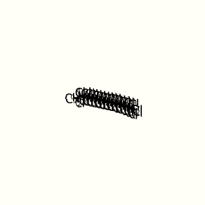 ClC(Cl)=C(Cl)C(Cl)(Cl)C(Cl)(Cl)C(Cl)(Cl)C(Cl)(Cl)C(Cl)(Cl)C(Cl)(Cl)C(Cl)(Cl)C(Cl)(Cl)C(Cl)(Cl)C(Cl)(Cl)C(Cl)(Cl)C(Cl)(Cl)C(Cl)(Cl)Cl